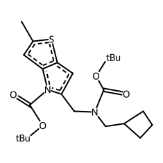 Cc1cc2c(cc(CN(CC3CCC3)C(=O)OC(C)(C)C)n2C(=O)OC(C)(C)C)s1